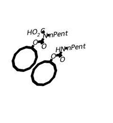 CCCCCN(C(=O)O)C(=O)OC1CCCCCCCCCCC1.CCCCCNC(=O)OC1CCCCCCCCCCC1